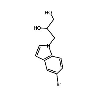 OCC(O)Cn1ccc2cc(Br)ccc21